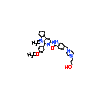 COc1ccc(-c2nc(NC(=O)c3ccc(CN4CCN(CCCO)CC4)cc3)cc3c4ccccc4n(C)c23)cc1